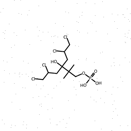 CC(C)(COP(=O)(O)O)C(O)(CC(Cl)CCl)CC(Cl)CCl